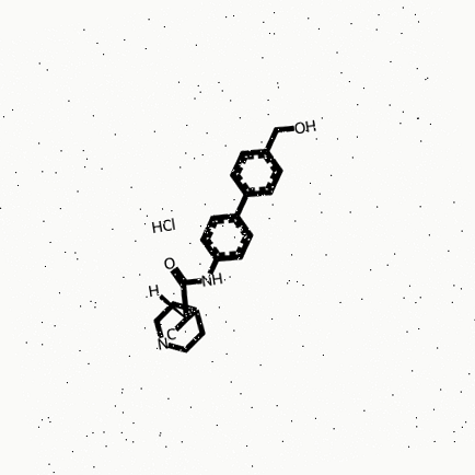 Cl.O=C(Nc1ccc(-c2ccc(CO)cc2)cc1)[C@H]1CN2CCC1CC2